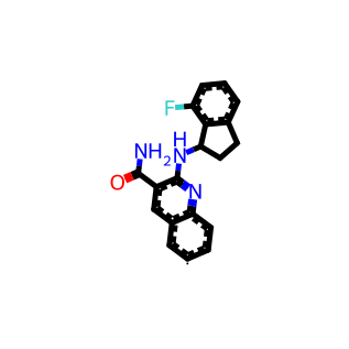 NC(=O)c1cc2c[c]ccc2nc1NC1CCc2cccc(F)c21